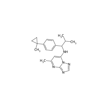 Cc1cc(NC(c2ccc(C3(C)CC3)cc2)C(C)C)n2ncnc2n1